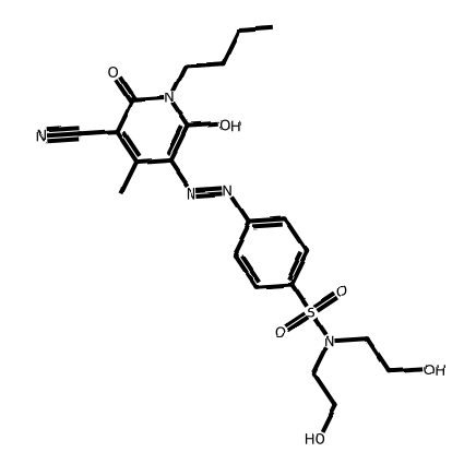 CCCCn1c(O)c(/N=N/c2ccc(S(=O)(=O)N(CCO)CCO)cc2)c(C)c(C#N)c1=O